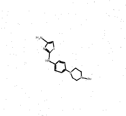 CCC(C)N1CCN(c2ccc(Nc3nc(N)[c]s3)cc2)CC1